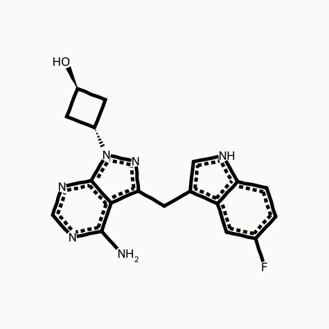 Nc1ncnc2c1c(Cc1c[nH]c3ccc(F)cc13)nn2[C@H]1C[C@H](O)C1